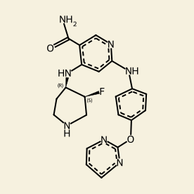 NC(=O)c1cnc(Nc2ccc(Oc3ncccn3)cc2)cc1N[C@@H]1CCNC[C@@H]1F